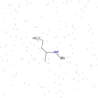 CC(CCC(=O)O)NC(C)(C)C